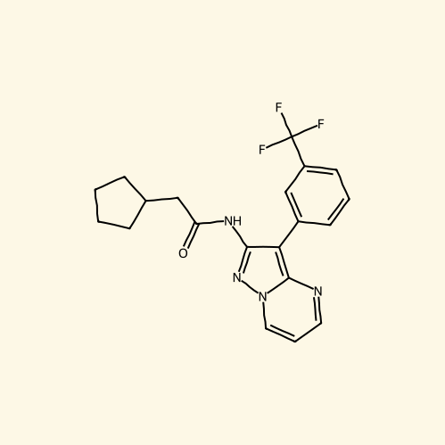 O=C(CC1CCCC1)Nc1nn2cccnc2c1-c1cccc(C(F)(F)F)c1